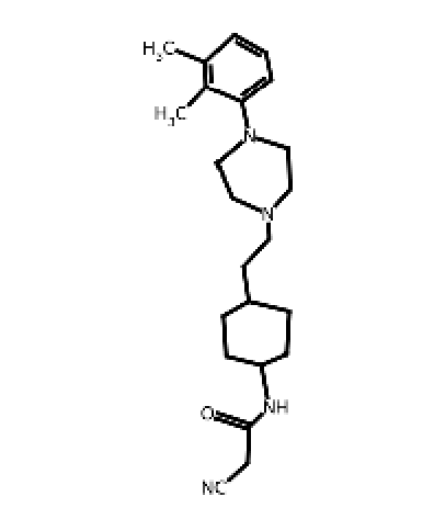 Cc1cccc(N2CCN(CCC3CCC(NC(=O)CC#N)CC3)CC2)c1C